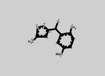 [CH2]c1ccc(OC)cc1C([O])c1cc(C)on1